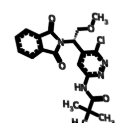 COC[C@H](c1cc(NC(=O)C(C)(C)C)nnc1Cl)N1C(=O)c2ccccc2C1=O